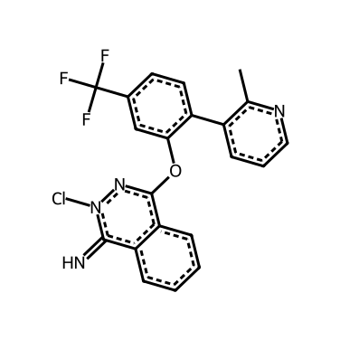 Cc1ncccc1-c1ccc(C(F)(F)F)cc1Oc1nn(Cl)c(=N)c2ccccc12